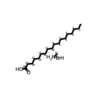 Br.CCCCCCCCCCCCCCCCCC(=O)O.CN